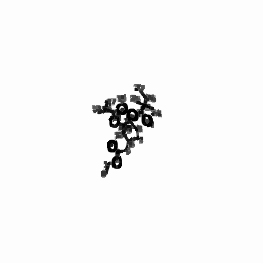 CCOC(=O)CC1CC2CC1C(OC(OC)C(C)C)C2OC(=O)C(C)(C)CC